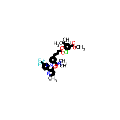 COC(=O)c1cc(Cl)c(OC(=O)CCCc2ccc(NC(=O)c3ccc(C)nc3-c3ccc(C(F)(F)F)cc3)c(C(=O)N(C)C)c2)c(C(C)C)c1